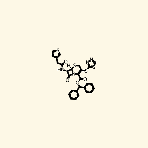 O=C(Cc1ccsc1)N[C@@H]1C(=O)N2C(C(=O)OC(c3ccccc3)c3ccccc3)=C(Sc3nncs3)CS[C@H]12